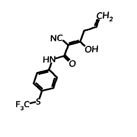 C=CC/C(O)=C(\C#N)C(=O)Nc1ccc(SC(F)(F)F)cc1